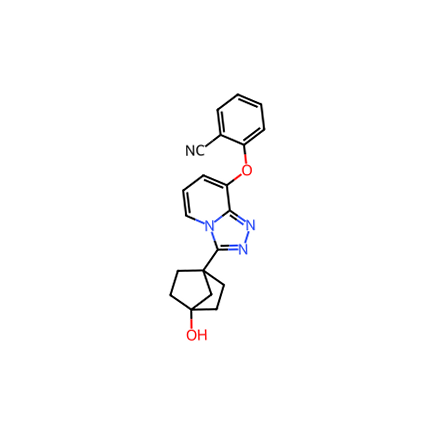 N#Cc1ccccc1Oc1cccn2c(C34CCC(O)(CC3)C4)nnc12